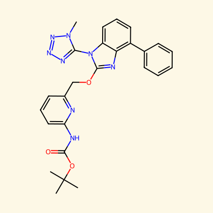 Cn1nnnc1-n1c(OCc2cccc(NC(=O)OC(C)(C)C)n2)nc2c(-c3ccccc3)cccc21